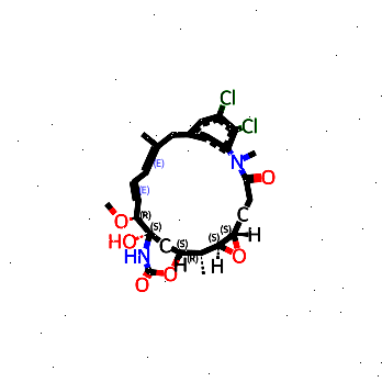 CO[C@@H]1/C=C/C=C(\C)Cc2cc(Cl)c(Cl)c(c2)N(C)C(=O)CC[C@@H]2O[C@H]2[C@H](C)[C@@H]2C[C@@]1(O)NC(=O)O2